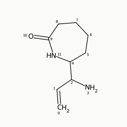 C=CC(N)C1CCCCC(=O)N1